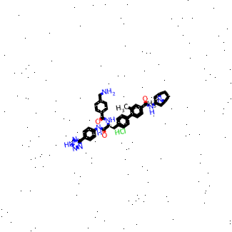 Cc1cc(C(=O)NC2CC3CCC(C2)N3C)ccc1-c1ccc(C[C@H](NC(=O)C2CCC(CN)CC2)C(=O)Nc2ccc(-c3nn[nH]n3)cc2)cc1.Cl